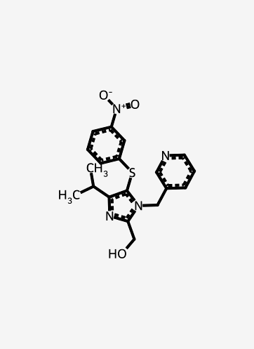 CC(C)c1nc(CO)n(Cc2cccnc2)c1Sc1cccc([N+](=O)[O-])c1